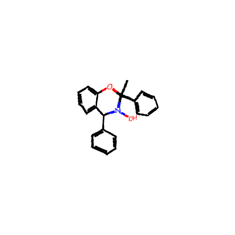 CC1(c2ccccc2)Oc2ccccc2C(c2ccccc2)N1O